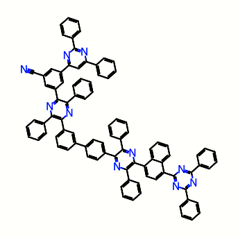 N#Cc1cc(-c2cc(-c3ccccc3)nc(-c3ccccc3)n2)cc(-c2nc(-c3ccccc3)c(-c3cccc(-c4ccc(-c5nc(-c6ccccc6)c(-c6ccc(-c7nc(-c8ccccc8)nc(-c8ccccc8)n7)c7ccccc67)nc5-c5ccccc5)cc4)c3)nc2-c2ccccc2)c1